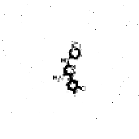 Cc1cc(N[C@@H]2CCCN(C)C2)nnc1-c1ccc(F)c(Cl)c1